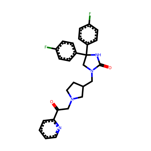 O=C(CN1CCC(CN2CC(c3ccc(F)cc3)(c3ccc(F)cc3)NC2=O)C1)c1ccccn1